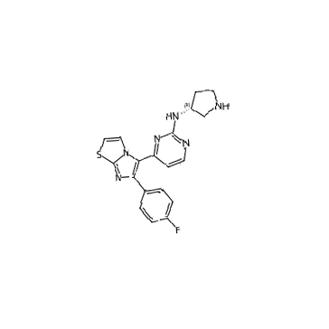 Fc1ccc(-c2nc3sccn3c2-c2ccnc(N[C@@H]3CCNC3)n2)cc1